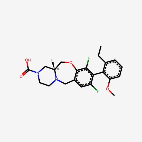 CCc1cccc(OC)c1-c1c(F)cc2c(c1F)OC[C@H]1CN(C(=O)O)CCN1C2